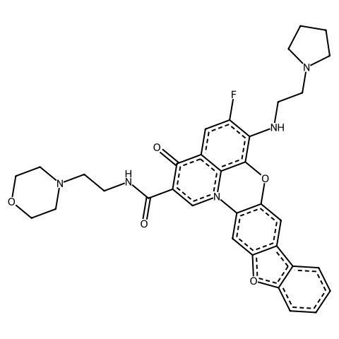 O=C(NCCN1CCOCC1)c1cn2c3c(c(NCCN4CCCC4)c(F)cc3c1=O)Oc1cc3c(cc1-2)oc1ccccc13